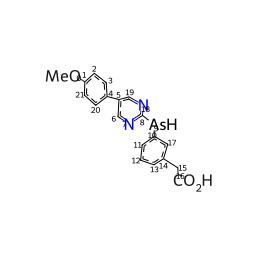 COc1ccc(-c2cnc([AsH]c3cccc(CC(=O)O)c3)nc2)cc1